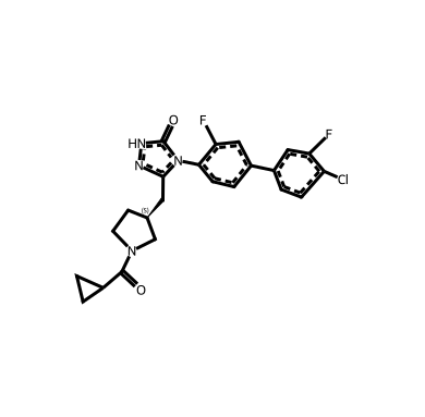 O=C(C1CC1)N1CC[C@@H](Cc2n[nH]c(=O)n2-c2ccc(-c3ccc(Cl)c(F)c3)cc2F)C1